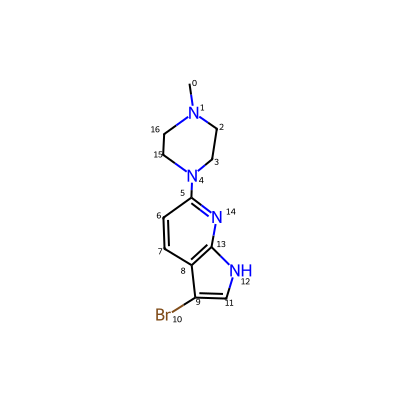 CN1CCN(c2ccc3c(Br)c[nH]c3n2)CC1